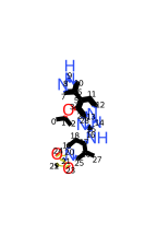 CC(C)Oc1c(-c2cn[nH]c2)ccn2nc(NC3CCN(S(C)(=O)=O)CC3C)nc12